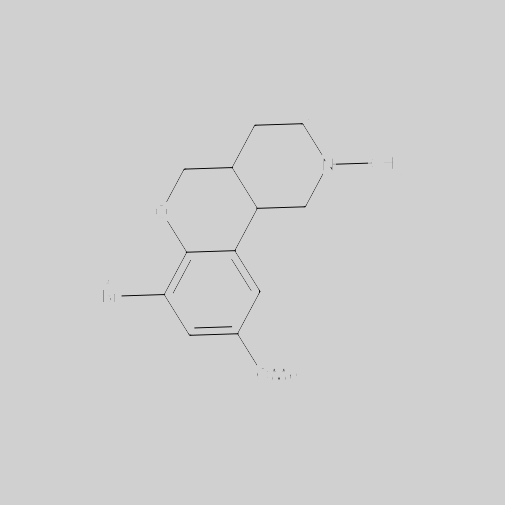 COc1cc(Br)c2c(c1)C1CN(C)CCC1CO2